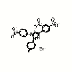 O=[N+]([O-])c1ccc(-n2nc(-c3ccc([N+](=O)[O-])cc3[N+](=O)[O-])n[n+]2-c2ccc(I)cc2)cc1.[Br-]